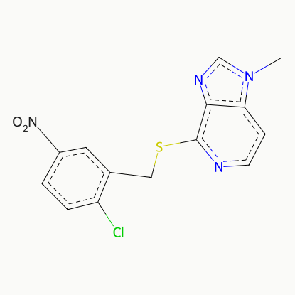 Cn1cnc2c(SCc3cc([N+](=O)[O-])ccc3Cl)nccc21